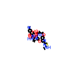 C=CC1C[C@]1(NC(=O)[C@@H]1C[C@@H](Oc2cc(-c3csc(NC(C)C)n3)nc3cc(OC)ccc23)CN1C(=O)[C@@H](NC(=O)NC(C(=O)c1ccc(N(C)C)cc1)C(C)C)C(C)(C)C)C(=O)O